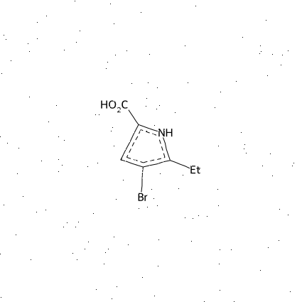 CCc1[nH]c(C(=O)O)cc1Br